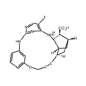 O=C(O)[C@H]1[C@H]2C[C@H]3[C@H]1Nc1nc(ncc1F)Nc1cccc(c1)OCCS[C@@H]3C2